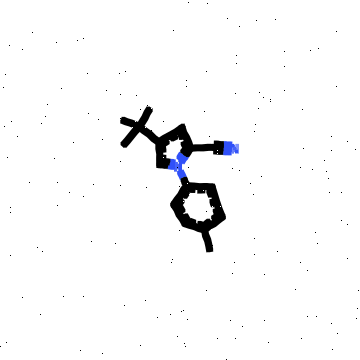 Cc1ccc(-n2cc(C(C)(C)C)cc2C#N)cc1